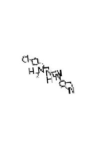 N[C@H](CNc1cnn(-c2ccc3cnccc3c2)c1)Cc1ccc(Cl)cc1